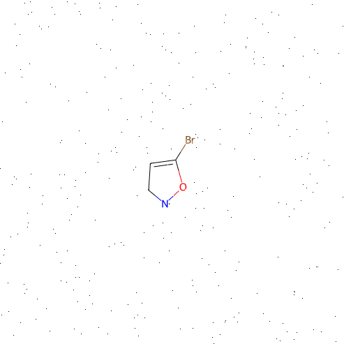 BrC1=CC[N]O1